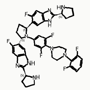 Fc1cc2nc([C@@H]3CCCN3)[nH]c2cc1[C@@H]1CC[C@@H](c2cc3[nH]c([C@@H]4CCCN4)nc3cc2F)N1c1cc(F)c(N2CCN(c3c(F)cccc3F)CC2)c(F)c1